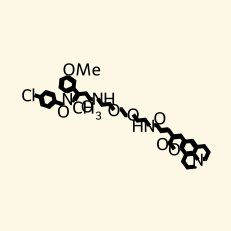 COc1ccc2c(c1)c(CC(=O)NCCOCCOCCNC(=O)/C=C/c1cc3cc4c5c(c3oc1=O)CCCN5CCC4)c(C)n2C(=O)c1ccc(Cl)cc1